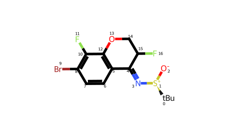 CC(C)(C)[S@+]([O-])N=C1c2ccc(Br)c(F)c2OCC1F